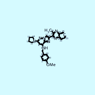 COc1ccc(CNc2cc(N3CCCC3)nn3cc(-c4nc5ccccc5nc4C)nc23)cc1